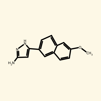 COc1ccc2cc(-c3cc(N)n[nH]3)ccc2c1